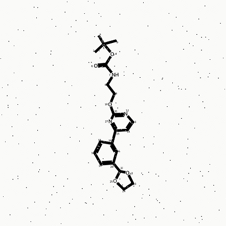 CC(C)(C)OC(=O)NCCOc1nccc(-c2cccc(C3OCCO3)c2)n1